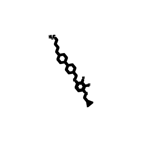 CCCCCC1CCC(C2CCC(COc3ccc(OCC4CC4)c(F)c3F)CC2)CC1